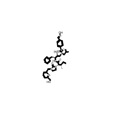 CC[C@H](C)[C@@H](C(=O)N[C@@H](Cc1ccccc1)[C@@H](O)CN(CC(C)C)S(=O)(=O)c1ccc(C=NO)cc1)N1CCN(Cc2cccc(CO)n2)C1=O